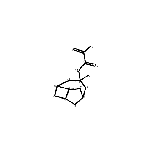 C=C(C)C(=O)OC1(C)CC2CC3CC(C1)C3C2